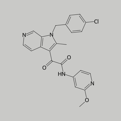 COc1cc(NC(=O)C(=O)c2c(C)n(Cc3ccc(Cl)cc3)c3cnccc23)ccn1